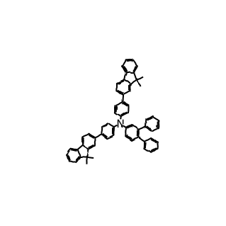 CC1(C)c2ccccc2-c2ccc(-c3ccc(N(c4ccc(-c5ccc6c(c5)C(C)(C)c5ccccc5-6)cc4)c4ccc(-c5ccccc5)c(-c5ccccc5)c4)cc3)cc21